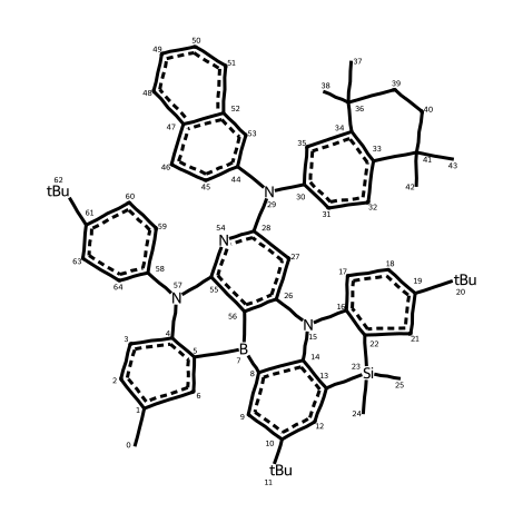 Cc1ccc2c(c1)B1c3cc(C(C)(C)C)cc4c3N(c3ccc(C(C)(C)C)cc3[Si]4(C)C)c3cc(N(c4ccc5c(c4)C(C)(C)CCC5(C)C)c4ccc5ccccc5c4)nc(c31)N2c1ccc(C(C)(C)C)cc1